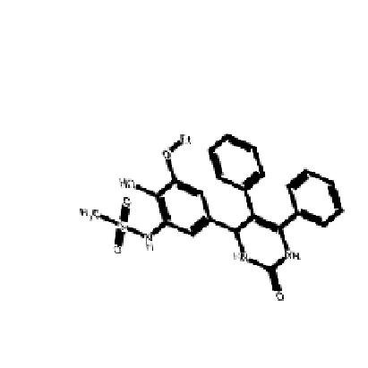 CCOc1cc(C2NC(=O)NC(c3ccccc3)=C2c2ccccc2)cc(NS(C)(=O)=O)c1O